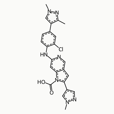 Cc1nn(C)cc1-c1ccc(Nc2cc3c(cn2)cc(-c2cnn(C)c2)n3C(=O)O)c(Cl)c1